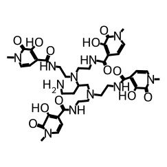 Cn1ccc(C(=O)NCCN(CCNC(=O)c2ccn(C)c(=O)c2O)CC(CCN)N(CCNC(=O)c2ccn(C)c(=O)c2O)CCNC(=O)c2ccn(C)c(=O)c2O)c(O)c1=O